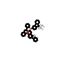 CC1(C)c2ccc(N(c3ccc4ccc5c6ccccc6oc5c4c3)c3ccccc3-c3ccc4ccccc4c3)cc2C2C=CC=CC21